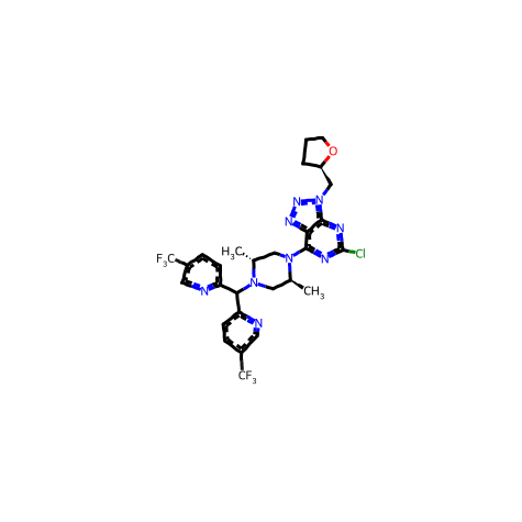 C[C@@H]1CN(c2nc(Cl)nc3c2nnn3C[C@H]2CCCO2)[C@@H](C)CN1C(c1ccc(C(F)(F)F)cn1)c1ccc(C(F)(F)F)cn1